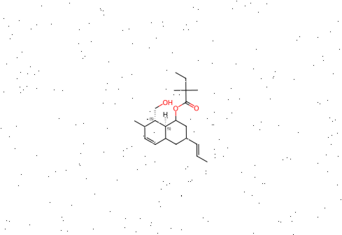 CC=CC1CC2C=CC(C)[C@H](CO)[C@H]2C(OC(=O)C(C)(C)CC)C1